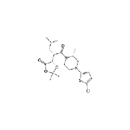 CC(C)C[C@H](C(=O)N1CCN(c2ccc(Cl)s2)C[C@H]1C)[C@@H]1OC(C)(C)OC1=O